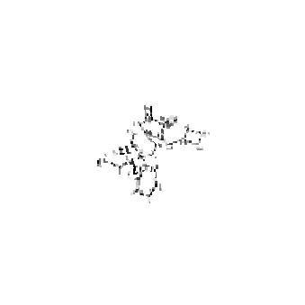 CC[N+](CC)(CC(C)C)[C@]1(c2ccccc2)CC[C@@]2(CC1)CNC(=O)N2CC1CCC1